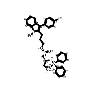 CC(C)n1c(CCCO[PH](=O)C[C@H](CC(=O)O)O[Si](c2ccccc2)(c2ccccc2)C(C)(C)C)c(-c2ccc(F)cc2)c2ccccc21